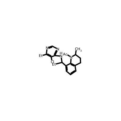 CCc1ncnc(NC(CC)c2cccc3c2N(C(C)=O)C(C)CC3)c1Cl